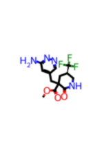 COC(=O)C1(Cc2cnnc(N)c2)C[C@@H](C(F)(F)F)CNC1=O